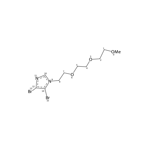 COCCOCCOCCn1cnc(Br)c1Br